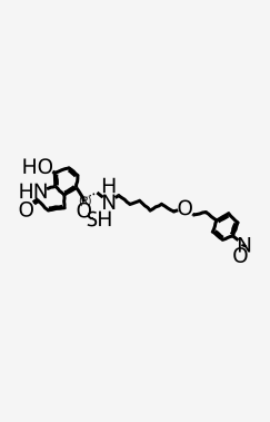 O=Nc1ccc(CCOCCCCCCNC[C@H](OS)c2ccc(O)c3[nH]c(=O)ccc23)cc1